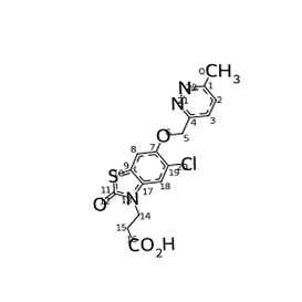 Cc1ccc(COc2cc3sc(=O)n(CCC(=O)O)c3cc2Cl)nn1